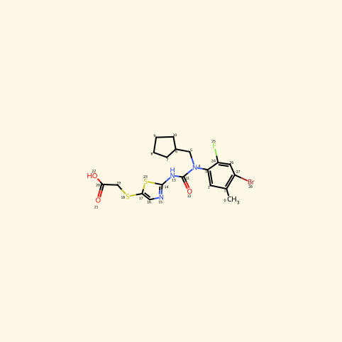 Cc1cc(N(CC2CCCC2)C(=O)Nc2ncc(SCC(=O)O)s2)c(F)cc1Br